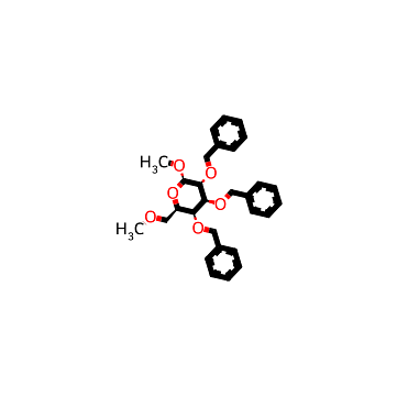 COC[C@H]1O[C@H](OC)[C@H](OCc2ccccc2)[C@@H](OCc2ccccc2)[C@@H]1OCc1ccccc1